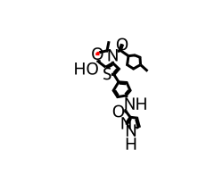 CC1CCC(C(=O)N(c2cc(-c3ccc(NC(=O)c4cc[nH]n4)cc3)sc2C(=O)O)C(C)C)CC1